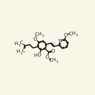 C=C(C)CCc1c(OC)cc(/C=C/c2cccc(OC)n2)c(C(=O)OC)c1O